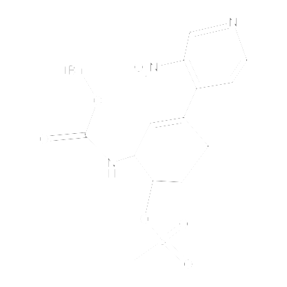 CC(C)(C)OC(=O)NC1C=C(c2ccncc2[N+](=O)[O-])CCC1OS(C)(=O)=O